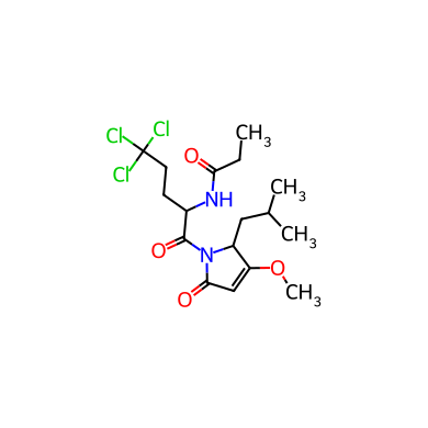 CCC(=O)NC(CCC(Cl)(Cl)Cl)C(=O)N1C(=O)C=C(OC)C1CC(C)C